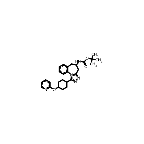 CC(C)(C)OC(=O)NC1Cc2ccccc2-n2c(nnc2C2CCC(Oc3ccccn3)CC2)C1